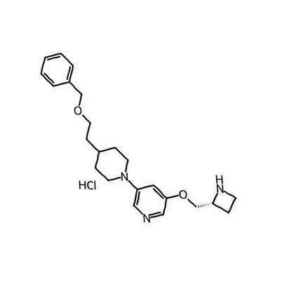 Cl.c1ccc(COCCC2CCN(c3cncc(OC[C@H]4CCN4)c3)CC2)cc1